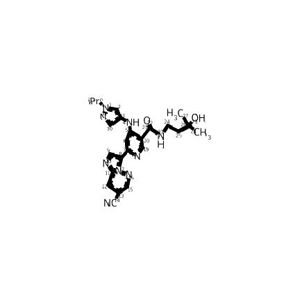 CC(C)n1cc(Nc2cc(-c3cnc4cc(C#N)cnn34)ncc2C(=O)NCCC(C)(C)O)cn1